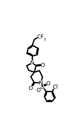 O=C1CC2(CCN(c3ccc(CC(F)(F)F)cc3)C2=O)CCN1S(=O)(=O)c1ccccc1Cl